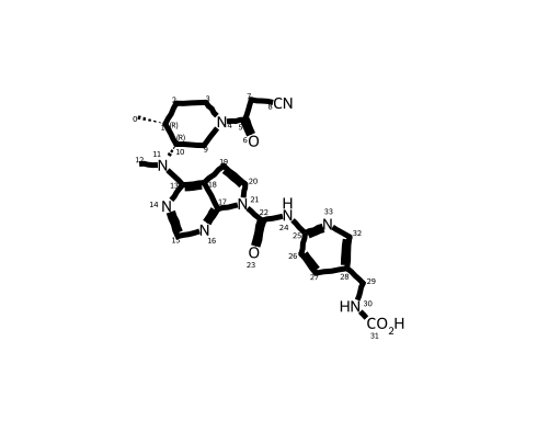 C[C@@H]1CCN(C(=O)CC#N)C[C@@H]1N(C)c1ncnc2c1ccn2C(=O)Nc1ccc(CNC(=O)O)cn1